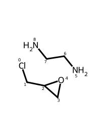 ClCC1CO1.NCCN